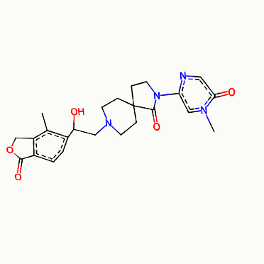 Cc1c(C(O)CN2CCC3(CC2)CCN(c2cn(C)c(=O)cn2)C3=O)ccc2c1COC2=O